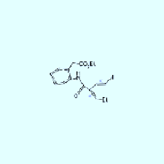 CC/C=C(\C=C\I)C(=O)Nc1ccccc1CC(=O)OCC